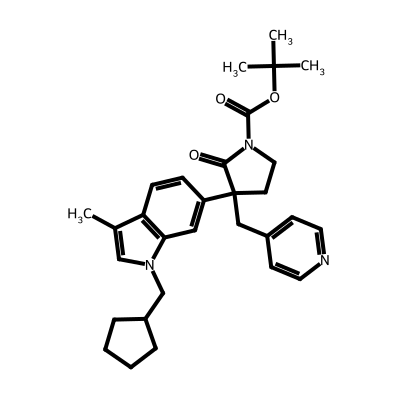 Cc1cn(CC2CCCC2)c2cc(C3(Cc4ccncc4)CCN(C(=O)OC(C)(C)C)C3=O)ccc12